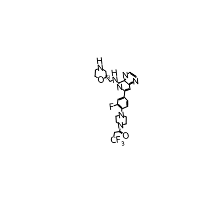 O=C(CC(F)(F)F)N1CCN(c2ccc(-c3cc4nccnc4c(NC[C@@H]4CNCCO4)n3)cc2F)CC1